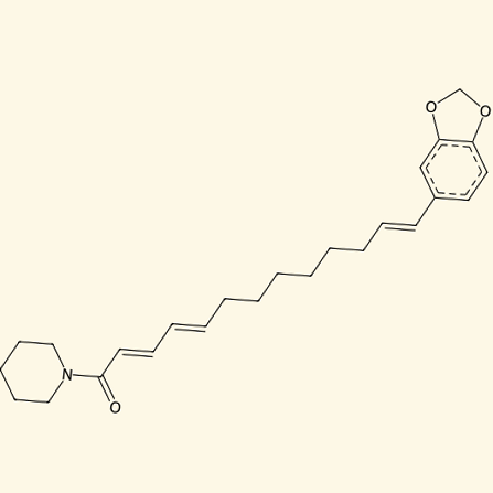 O=C(C=CC=CCCCCCCC=Cc1ccc2c(c1)OCO2)N1CCCCC1